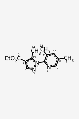 CCOC(=O)c1cnn(-c2ncc(C)cc2C)c1C